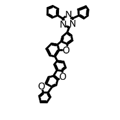 c1ccc(-c2nc(-c3ccccc3)nc(-c3ccc4oc5c(-c6ccc7oc8cc9c(cc8c7c6)oc6ccccc69)cccc5c4c3)n2)cc1